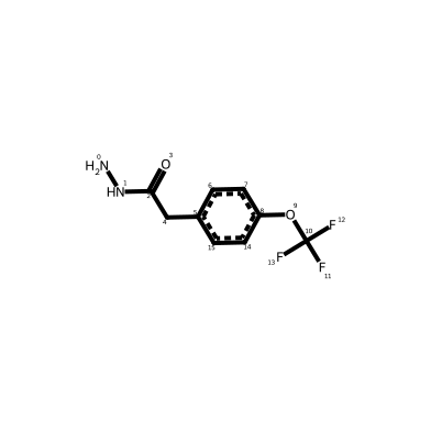 NNC(=O)Cc1ccc(OC(F)(F)F)cc1